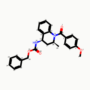 COc1ccc(C(=O)N2c3ccccc3[C@H](NC(=O)OCc3ccccc3)C[C@@H]2C)cc1